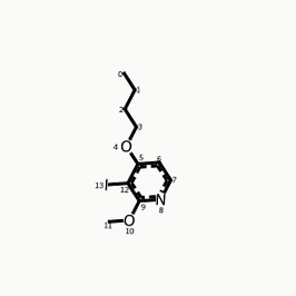 CCCCOc1ccnc(OC)c1I